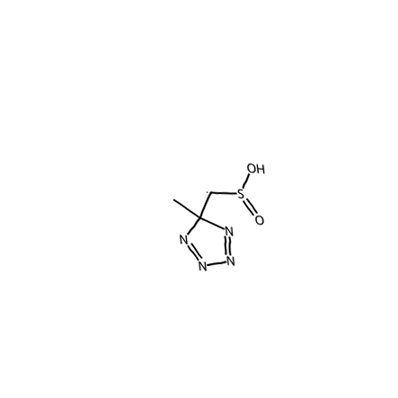 CC1([CH]S(=O)O)N=NN=N1